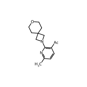 CC(=O)c1ccc(C)nc1N1CC2(CCOCC2)C1